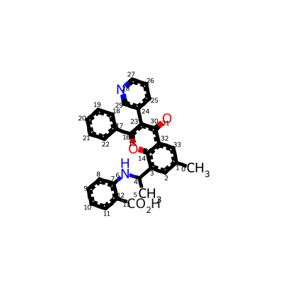 Cc1cc(C(C)Nc2ccccc2C(=O)O)c2oc(-c3ccccc3)c(-c3cccnc3)c(=O)c2c1